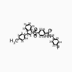 Cc1ccc(-c2cn(S(=O)(=O)c3ccc(C(=O)NCc4ccc(F)cc4)cc3)c3ccccc23)cc1